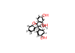 CC(C(=O)c1ccc(O)cc1O)(c1ccccc1)c1ccc(O)cc1